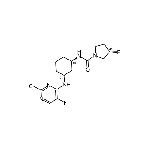 O=C(N[C@@H]1CCC[C@H](Nc2nc(Cl)ncc2F)C1)N1CC[C@@H](F)C1